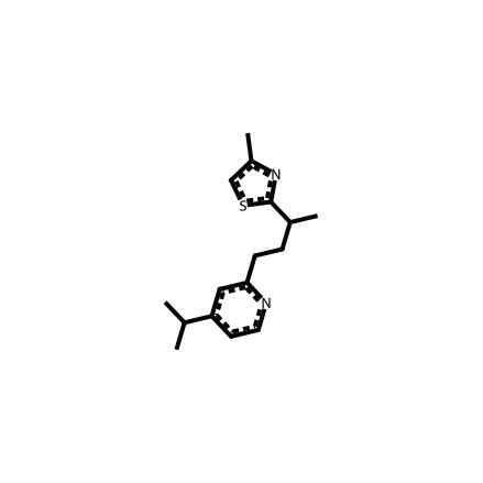 Cc1csc(C(C)CCc2cc(C(C)C)ccn2)n1